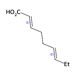 CC/C=C/CC/C=C/C(=O)O